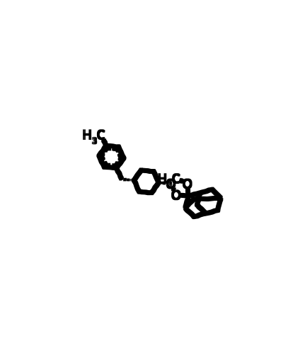 COC1(OO[C@H]2CC[C@@H](Cc3ccc(C)cc3)CC2)C2CC3CC(C2)CC1C3